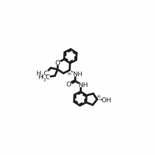 CCC1(CC)C[C@@H](NC(=O)Nc2cccc3c2C[C@H](O)C3)c2ccccc2O1